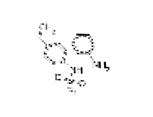 C=Cc1ccc(NS(=O)(=O)C(C)C)cc1.Nc1ccccc1